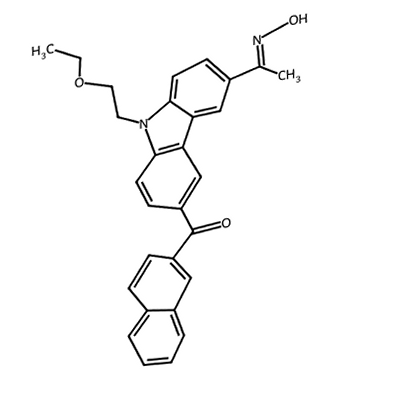 CCOCCn1c2ccc(C(=O)c3ccc4ccccc4c3)cc2c2cc(/C(C)=N/O)ccc21